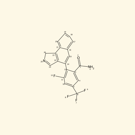 NC(=O)c1cc(C(F)(F)F)cc(F)c1-c1cc2ccccc2c2c1C=NC2